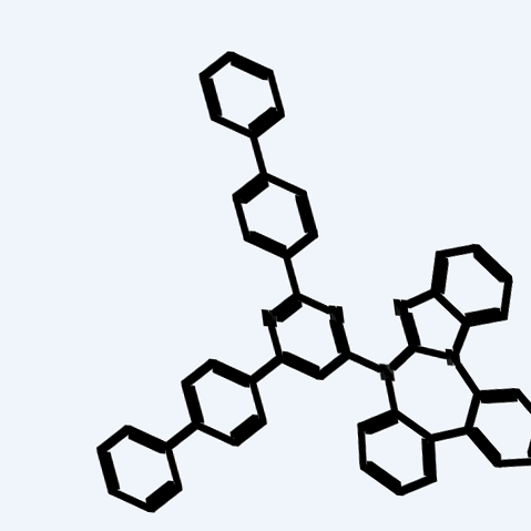 c1ccc(-c2ccc(-c3cc(N4c5ccccc5-c5ccccc5-n5c4nc4ccccc45)nc(-c4ccc(-c5ccccc5)cc4)n3)cc2)cc1